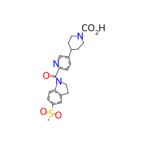 CS(=O)(=O)c1ccc2c(c1)CCN2C(=O)c1ccc(C2CCN(C(=O)O)CC2)cn1